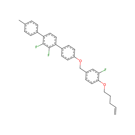 C=CCCCOc1ccc(COc2ccc(-c3ccc(-c4ccc(C)cc4)c(F)c3F)cc2)cc1F